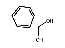 OCO.c1ccccc1